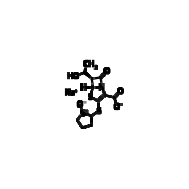 CC(O)[C@H]1C(=O)N2C(C(=O)[O-])=C(SC3CCC[S+]3[O-])S[C@H]12.[Na+]